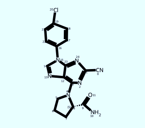 N#Cc1nc(N2CCC[C@H]2C(N)=O)c2ncn(-c3ccc(Cl)cc3)c2n1